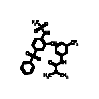 CN(C)C(=O)Nc1cccc(C(F)(F)F)c1.Cc1cc(S(=O)(=O)c2ccccc2)ccc1NS(=O)(=O)C(F)(F)F